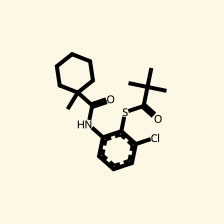 CC(C)(C)C(=O)Sc1c(Cl)cccc1NC(=O)C1(C)CCCCC1